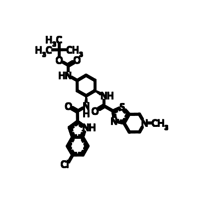 CN1CCc2nc(C(=O)N[C@@H]3CCC(NC(=O)OC(C)(C)C)C[C@@H]3NC(=O)c3cc4cc(Cl)ccc4[nH]3)sc2C1